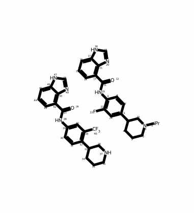 CC(C)N1CCCC(c2ccc(NC(=O)c3cccc4[nH]cnc34)c(F)c2)C1.O=C(Nc1ccc(C2CCCNC2)c(C(F)(F)F)c1)c1cccc2[nH]cnc12